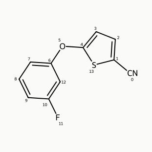 N#Cc1ccc(Oc2cccc(F)c2)s1